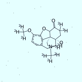 [2H]O[C@@]12CC([2H])([2H])C(=O)C3Oc4c(OC([2H])([2H])[2H])ccc5c4[C@@]31CCN(C([2H])([2H])[2H])[C@]2([2H])C5